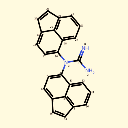 N=C(N)N(c1ccc2c3c(cccc13)C=C2)c1ccc2c3c(cccc13)C=C2